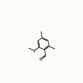 CSc1cc(C)cc(C)c1C=O